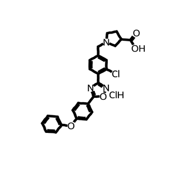 Cl.O=C(O)C1CCN(Cc2ccc(-c3noc(-c4ccc(Oc5ccccc5)cc4)n3)c(Cl)c2)C1